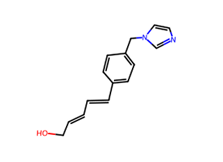 OC/C=C/C=C/c1ccc(Cn2ccnc2)cc1